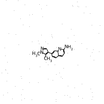 Cc1c(-c2ccc3ccc(N)nc3c2)cnn1C